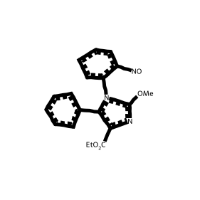 CCOC(=O)c1nc(OC)n(-c2ccccc2N=O)c1-c1ccccc1